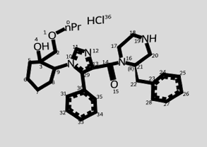 CCCOCC1(O)CCCCC1n1cnc(C(=O)N2CCNC[C@H]2Cc2ccccc2)c1-c1ccccc1.Cl